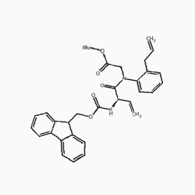 C=CCc1ccccc1N(CC(=O)OC(C)(C)C)C(=O)[C@@H](C=C)NC(=O)OCC1c2ccccc2-c2ccccc21